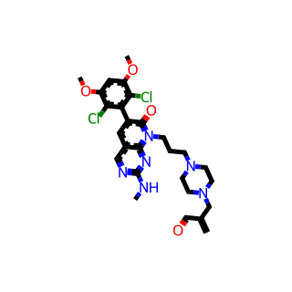 C=C(C=O)CN1CCN(CCCn2c(=O)c(-c3c(Cl)c(OC)cc(OC)c3Cl)cc3cnc(NC)nc32)CC1